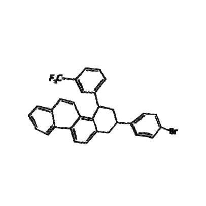 FC(F)(F)c1cccc(C2CC(c3ccc(Br)cc3)Cc3ccc4c(ccc5ccccc54)c32)c1